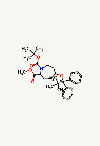 COC(=O)[C@@H]1CCC(O[Si](c2ccccc2)(c2ccccc2)C(C)(C)C)CCN1C(=O)OC(C)(C)C